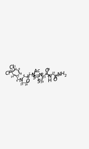 CC(=O)N(C[C@@H]1CN(Cc2ccc(Cl)c(Cl)c2)CCO1)Sc1nc(C(=O)NCC(N)=O)cs1